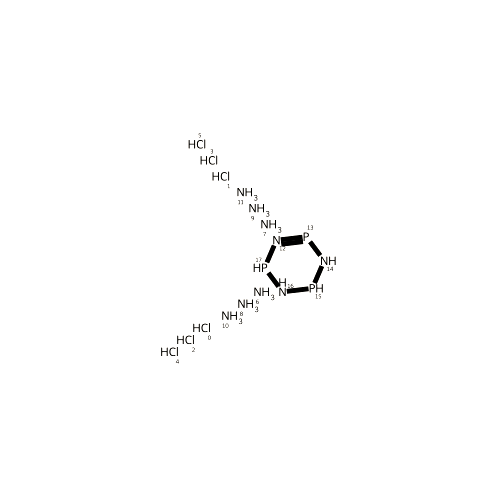 Cl.Cl.Cl.Cl.Cl.Cl.N.N.N.N.N.N.n1p[nH][pH][nH][pH]1